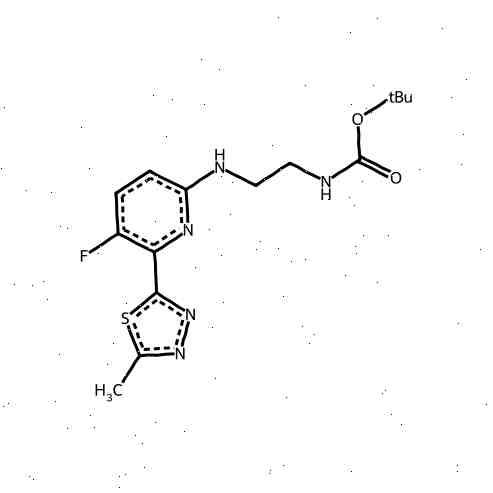 Cc1nnc(-c2nc(NCCNC(=O)OC(C)(C)C)ccc2F)s1